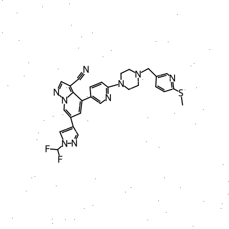 CSc1ccc(CN2CCN(c3ccc(-c4cc(-c5cnn(C(F)F)c5)cn5ncc(C#N)c45)cn3)CC2)cn1